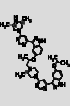 CC(C)Oc1ccc2[nH]nc(-c3cc(N4CCN(CC(C)Oc5ccc6[nH]nc(-c7cc(N8C[C@@H](C)N[C@@H](C)C8)ncn7)c6c5)[C@@H](C)C4)ncn3)c2c1